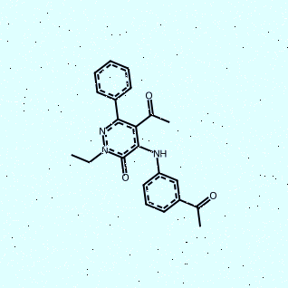 CCn1nc(-c2ccccc2)c(C(C)=O)c(Nc2cccc(C(C)=O)c2)c1=O